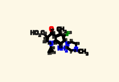 Cc1c(F)c(N2CCN(C)CC2)c(N)c2c1c(=O)c(C(=O)O)cn2C1CC1